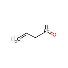 C=C[CH2][PbH]=[O]